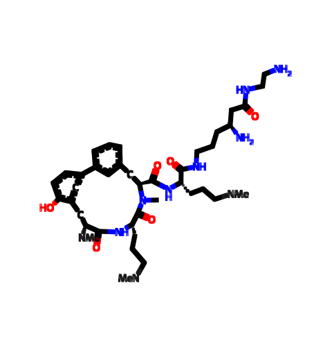 CNCCC[C@H](NC(=O)[C@@H]1Cc2cccc(c2)-c2ccc(O)c(c2)C[C@H](NC)C(=O)N[C@@H](CCCNC)C(=O)N1C)C(=O)NCCC[C@H](N)CC(=O)NCCN